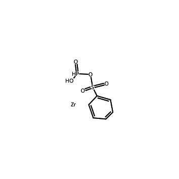 O=[PH](O)OS(=O)(=O)c1ccccc1.[Zr]